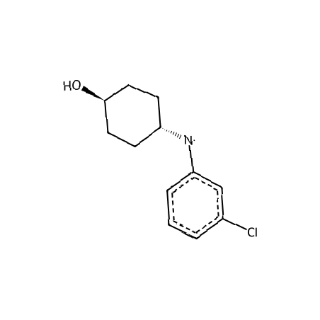 O[C@H]1CC[C@H]([N]c2cccc(Cl)c2)CC1